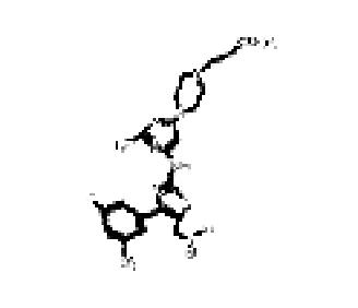 CCN(CC)Cc1sc(Nc2cc(N3CCN(CCC(=O)O)CC3)nc(C)n2)nc1-c1cc(F)cc(C(F)(F)F)c1